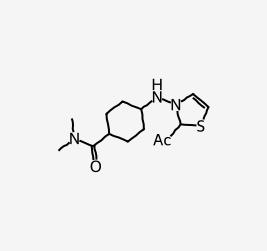 CC(=O)C1SC=CN1NC1CCC(C(=O)N(C)C)CC1